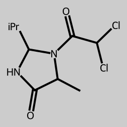 CC(C)C1NC(=O)C(C)N1C(=O)C(Cl)Cl